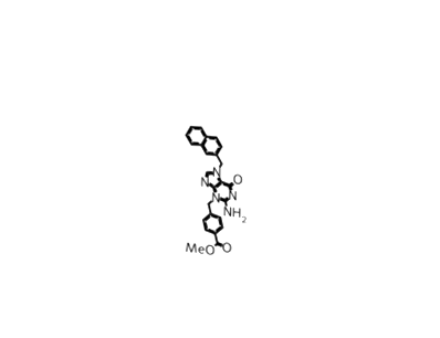 COC(=O)c1ccc(Cn2c(N)nc(=O)c3c2ncn3Cc2ccc3ccccc3c2)cc1